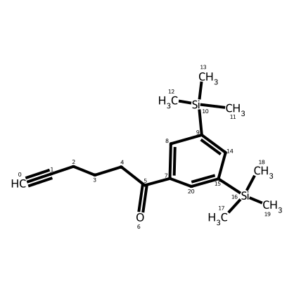 C#CCCCC(=O)c1cc([Si](C)(C)C)cc([Si](C)(C)C)c1